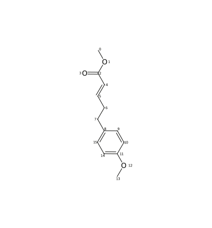 COC(=O)/C=C/CCc1ccc(OC)cc1